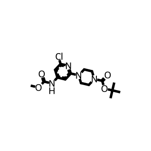 COC(=O)Nc1cc(Cl)nc(N2CCN(C(=O)OC(C)(C)C)CC2)c1